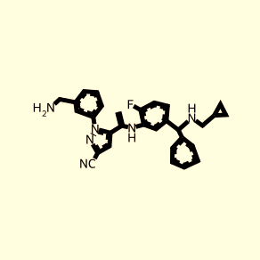 C=C(Nc1cc(C(NCC2CC2)c2ccccc2)ccc1F)c1cc(C#N)nn1-c1cccc(CN)c1